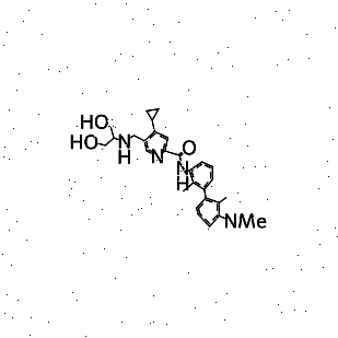 CNc1cccc(-c2cccc(NC(=O)c3cc(C4CC4)c(CNC(CO)CO)cn3)c2C)c1C